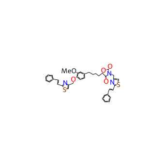 COc1cc(CCCCC2OC(=O)N(Cc3csc(C=Cc4ccccc4)n3)C2=O)ccc1OCc1csc(C=Cc2ccccc2)n1